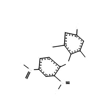 O=[N+]([O-])c1ccc(Oc2c(Cl)cc(Cl)cc2Cl)c([N+](=O)[O-])c1